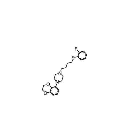 Fc1ccccc1SCCCCN1CCN(c2cccc3c2OCCO3)CC1